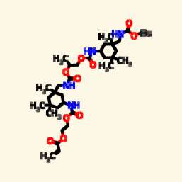 C=CC(=O)OCCOC(=O)NC1CC(C)(C)CC(C)(CNC(=O)OC(C)COC(=O)NC2CC(C)(C)CC(C)(CNC(=O)OC(C)CC)C2)C1